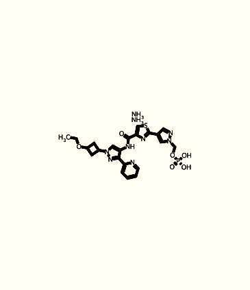 CCOC1CC(n2cc(NC(=O)c3csc(-c4cnn(COP(=O)(O)O)c4)n3)c(-c3ccccn3)n2)C1.N.N